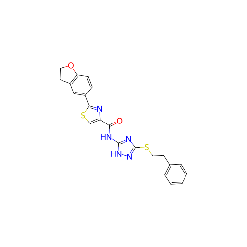 O=C(Nc1nc(SCCc2ccccc2)n[nH]1)c1csc(-c2ccc3c(c2)CCO3)n1